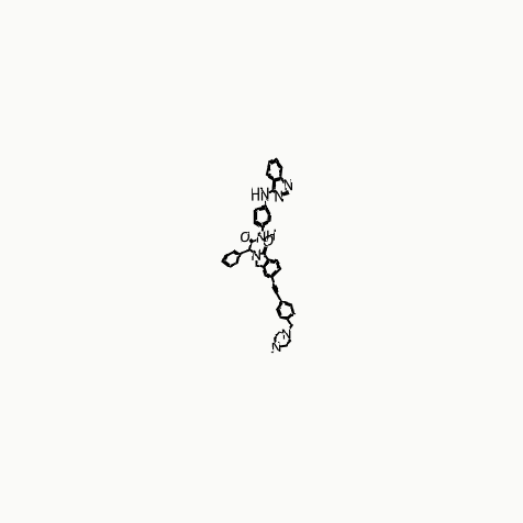 CN1CCN(Cc2ccc(C#Cc3ccc4c(c3)CN(C(C(=O)Nc3ccc(Nc5ncnc6ccccc56)cc3)c3ccccc3)C4=O)cc2)CC1